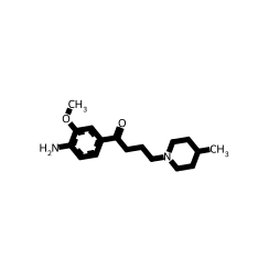 COc1cc(C(=O)CCCN2CCC(C)CC2)ccc1N